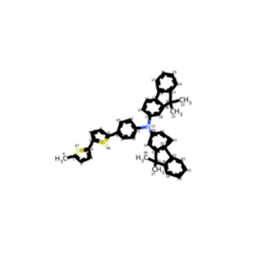 Cc1ccc(-c2ccc(-c3ccc(N(c4ccc5c(c4)C(C)(C)c4ccccc4-5)c4ccc5c(c4)C(C)(C)c4ccccc4-5)cc3)s2)s1